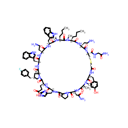 CCCC[C@H]1C(=O)N(C)[C@@H](CCCC)C(=O)N[C@@H](CCN)C(=O)N[C@H](C(=O)NCC(N)=O)CSCC(=O)N[C@@H](Cc2ccc(O)cc2)C(=O)N(C)[C@@H](C)C(=O)N[C@@H](CC(N)=O)C(=O)N2CCC[C@H]2C(=O)N[C@@H](Cc2c[nH]cn2)C(=O)N[C@@H](CCC(=O)O)C(=O)N2C[C@H](Cc3ccc(F)cc3)C[C@H]2C(=O)N[C@@H](Cc2c[nH]c3ccccc23)C(=O)N[C@@H](CCN)C(=O)N[C@@H](Cc2c[nH]c3ccccc23)C(=O)N1C